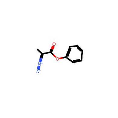 CC(=[N+]=[N-])C(=O)Oc1ccccc1